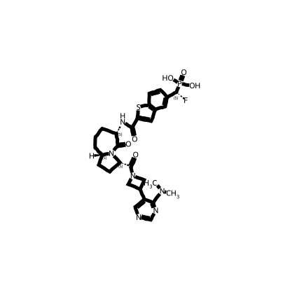 CN(C)c1ncncc1C1CN(C(=O)[C@@H]2CC[C@@H]3CCC[C@H](NC(=O)c4cc5cc([C@@H](F)P(=O)(O)O)ccc5s4)C(=O)N32)C1